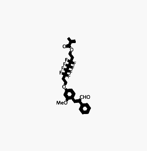 C=C(C)C(=O)OCCC(F)(F)C(F)(F)C(F)(F)C(F)(F)CCOc1ccc(/C=C(\C=O)c2ccccc2)c(OC)c1